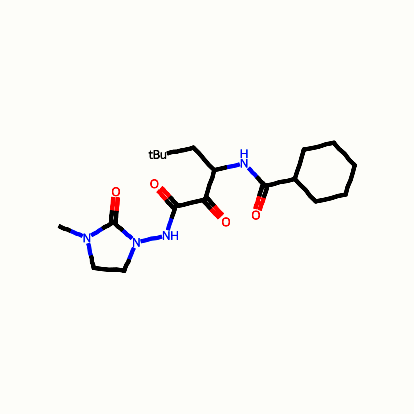 CN1CCN(NC(=O)C(=O)C(CC(C)(C)C)NC(=O)C2CCCCC2)C1=O